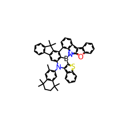 Cc1cc2c(cc1N1c3cc4c(c5c3B(c3sc6ccccc6c31)n1c3oc6ccccc6c3c3cccc-5c31)C(C)(C)c1ccccc1-4)C(C)(C)CCC2(C)C